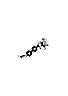 CNC(=O)C(C(=O)NO)N(C)C(=O)c1ccc(-c2ccc(OCCF)cc2)cc1